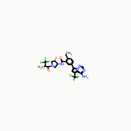 CCc1ccc(-c2cc(C(F)(F)F)c3c(N)ncnn23)cc1C(=O)N[C@@H]1CN(C(=O)C(C)C(F)(F)F)C[C@@H]1F